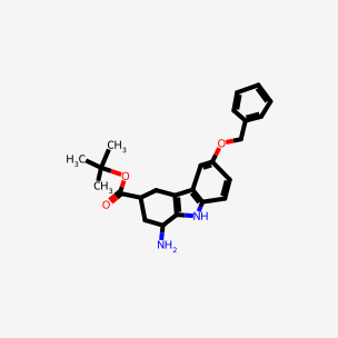 CC(C)(C)OC(=O)C1Cc2c([nH]c3ccc(OCc4ccccc4)cc23)C(N)C1